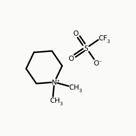 C[N+]1(C)CCCCC1.O=S(=O)([O-])C(F)(F)F